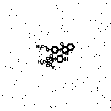 CCOc1ccc(-n2c([C@H]3CN(C(=O)OC(C)(C)C)CCN3)nc3ccccc3c2=O)cc1